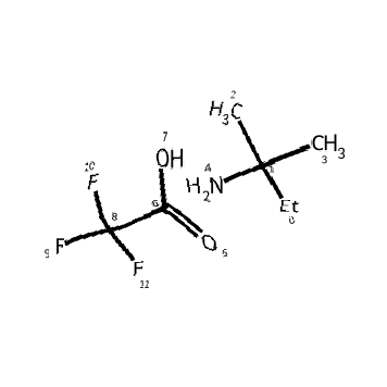 CCC(C)(C)N.O=C(O)C(F)(F)F